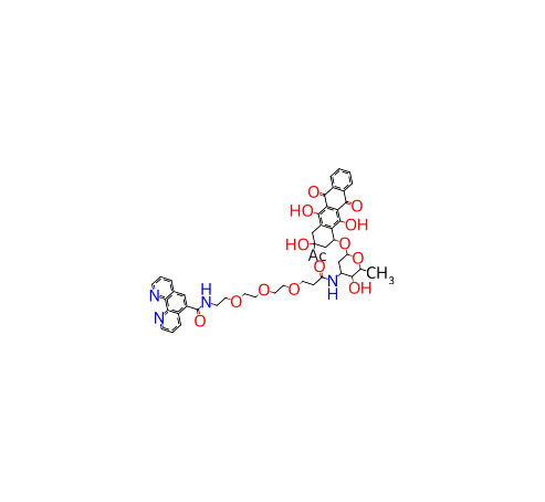 CC(=O)C1(O)Cc2c(O)c3c(c(O)c2C(OC2CC(NC(=O)CCOCCOCCOCCNC(=O)c4cc5cccnc5c5ncccc45)C(O)C(C)O2)C1)C(=O)c1ccccc1C3=O